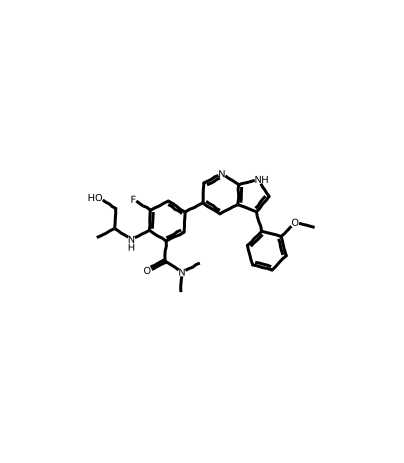 COc1ccccc1-c1c[nH]c2ncc(-c3cc(F)c(NC(C)CO)c(C(=O)N(C)C)c3)cc12